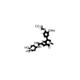 COc1cc(-c2cn(C)c(=O)c3cc(C(=N)NC4CCS(O)(O)CC4)sc23)ccc1OCC(=O)O